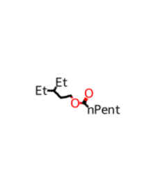 CCCCCC(=O)OCCC(CC)CC